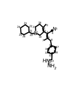 CC1=C(/C(C#N)=C(\C)Cc2ccc(CNN)cc2)CN(CC2CCCCC2)CC1